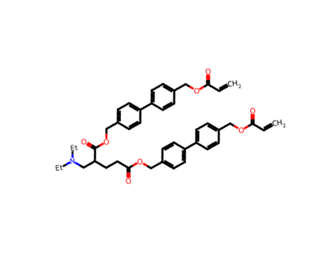 C=CC(=O)OCc1ccc(-c2ccc(COC(=O)CCC(CN(CC)CC)C(=O)OCc3ccc(-c4ccc(COC(=O)C=C)cc4)cc3)cc2)cc1